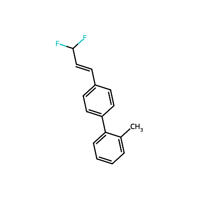 Cc1ccccc1-c1ccc(/C=C/C(F)F)cc1